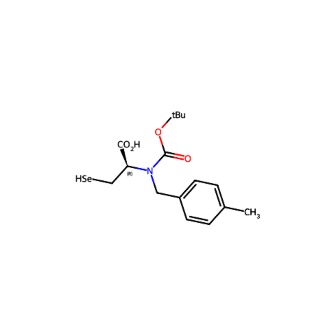 Cc1ccc(CN(C(=O)OC(C)(C)C)[C@@H](C[SeH])C(=O)O)cc1